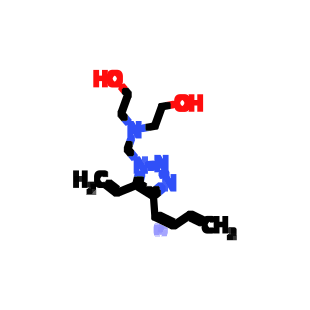 C=C/C=C\c1nnn(CN(CCO)CCO)c1C=C